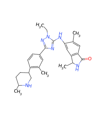 CCn1nc(-c2ccc(C3CCC(C)NC3)c(C)c2)nc1Nc1cc2c(cc1C)C(=O)NC2C